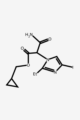 CCc1nc(I)cn1C(C(N)=O)C(=O)OCC1CC1